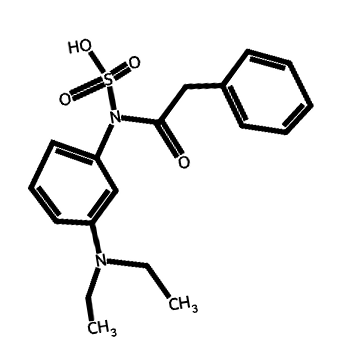 CCN(CC)c1cccc(N(C(=O)Cc2ccccc2)S(=O)(=O)O)c1